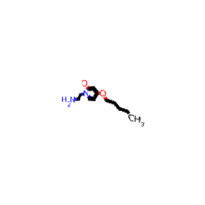 CCCCCOc1ccn(CCN)c(=O)c1